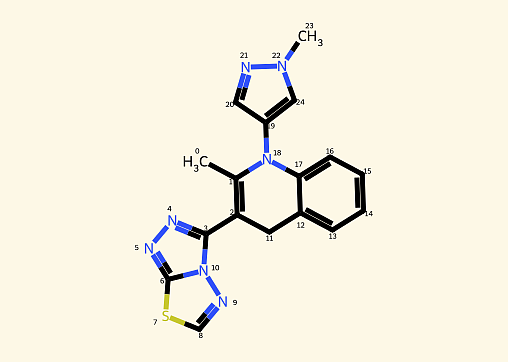 CC1=C(c2nnc3scnn23)Cc2ccccc2N1c1cnn(C)c1